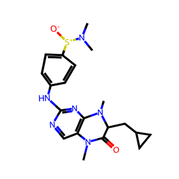 CN1C(=O)C(CC2CC2)N(C)c2nc(Nc3ccc([S+]([O-])N(C)C)cc3)ncc21